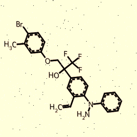 C=Cc1cc(C(O)(COc2ccc(Br)c(C)c2)C(F)(F)F)ccc1N(N)c1ccccc1